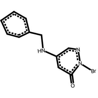 O=c1cc(NCc2ccccc2)cnn1Br